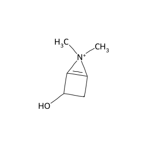 C[N+]1(C)C2=C1C(O)C2